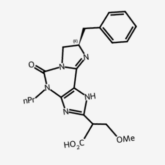 CCCN1C(=O)N2C[C@@H](Cc3ccccc3)N=C2c2[nH]c(C(COC)C(=O)O)nc21